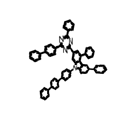 c1ccc(-c2ccc(-c3ccc(-n4c5ccc(-c6ccccc6)cc5c5c(-c6ccccc6)cc(-c6nc(-c7ccccc7)nc(-c7ccc(-c8ccccc8)cc7)n6)cc54)cc3)cc2)cc1